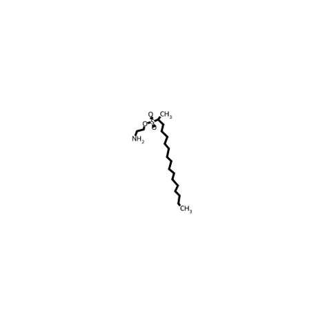 CCCCCCCCCCCCCCCC(C)S(=O)(=O)OCCN